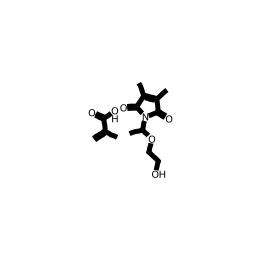 C=C(C)C(=O)O.CC1=C(C)C(=O)N(C(C)OCCO)C1=O